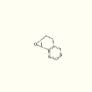 c1cnc2c(c1)CCC1OC21